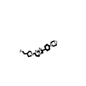 FCCC1CCN(c2ccn3cc(-c4ccc(N5CCOCC5)cc4)nc3n2)CC1